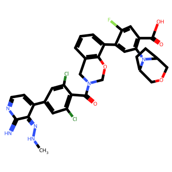 CN/N=C1\C(=N)N=CC=C1c1cc(Cl)c(C(=O)N2COc3c(cccc3-c3cc(N4C5CCC4COC5)c(C(=O)O)cc3F)C2)c(Cl)c1